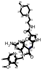 COc1c(C)cnc(CN2C(=O)/C(=C/c3cc(C(=O)NCCN4CCN(C)CC4)c[nH]3)c3c(Cl)nc(N)nc32)c1C